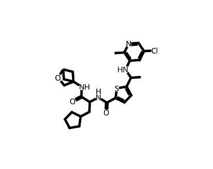 Cc1ncc(Cl)cc1NC(C)c1ccc(C(=O)NC(CC2CCCC2)C(=O)NC23COC(C2)C3)s1